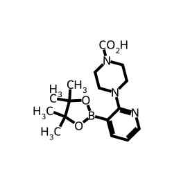 CC1(C)OB(c2cccnc2N2CCN(C(=O)O)CC2)OC1(C)C